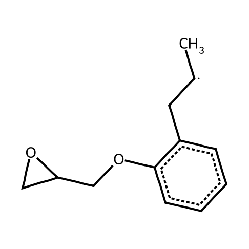 C[CH]Cc1ccccc1OCC1CO1